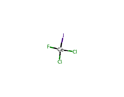 [F][Ge]([Cl])([Cl])[I]